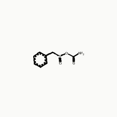 NC(=O)OS(=O)Cc1ccccc1